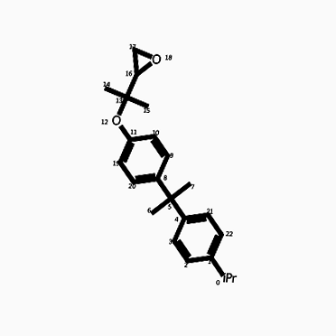 CC(C)c1ccc(C(C)(C)c2ccc(OC(C)(C)C3CO3)cc2)cc1